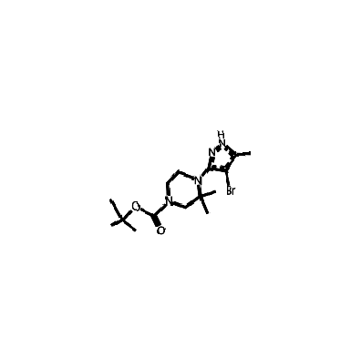 Cc1[nH]nc(N2CCN(C(=O)OC(C)(C)C)CC2(C)C)c1Br